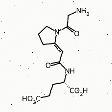 NCC(=O)N1CCC/C1=C\C(=O)N[C@@H](CCC(=O)O)C(=O)O